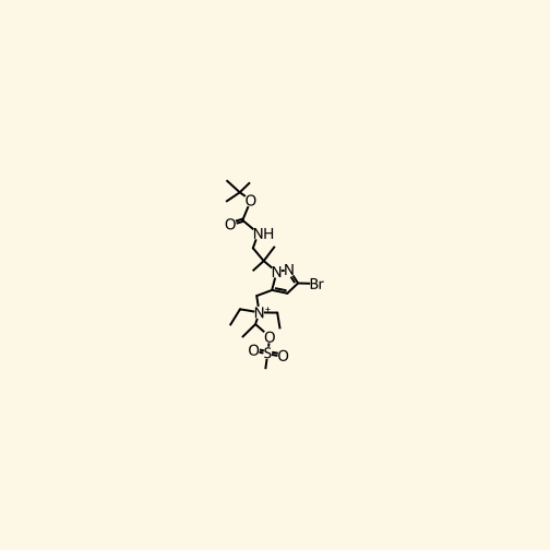 CC[N+](CC)(Cc1cc(Br)nn1C(C)(C)CNC(=O)OC(C)(C)C)C(C)OS(C)(=O)=O